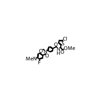 CNc1cc2c(cc1F)C(=O)N(c1ccc(C(=O)NC(C(=O)OC)c3ccc(Cl)s3)cc1)CO2